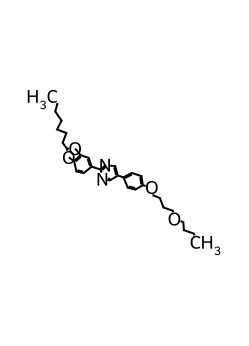 CCCCCCCC1Oc2ccc(-c3ncc(-c4ccc(OCCCCOCCCC)cc4)cn3)cc2O1